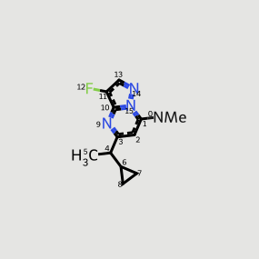 CNc1cc(C(C)C2CC2)nc2c(F)cnn12